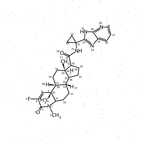 CN1C(=O)C(F)=C[C@@]2(C)C1CC[C@@H]1[C@H]2CC[C@]2(C)C(C(=O)NC3(c4nc5cccnc5[nH]4)CC3)CC[C@@H]12